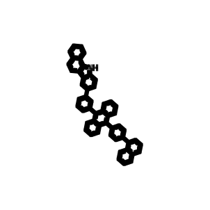 c1cc(-c2ccc3[nH]c4c5ccccc5ccc4c3c2)cc(-c2c3ccccc3c(-c3ccc(-c4cccc5ccccc45)cc3)c3ccccc23)c1